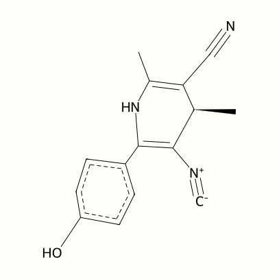 [C-]#[N+]C1=C(c2ccc(O)cc2)NC(C)=C(C#N)[C@H]1C